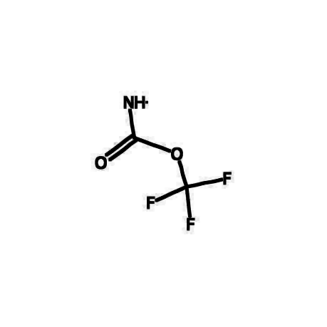 [NH]C(=O)OC(F)(F)F